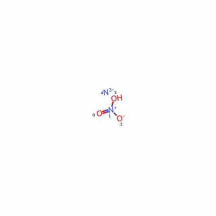 O=[N+]([O-])O.[N-3]